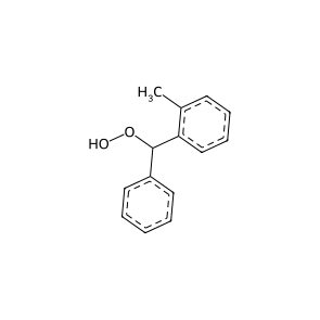 Cc1ccccc1C(OO)c1ccccc1